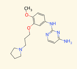 COc1ccc(Nc2nccc(N)n2)cc1OCCCN1CCCC1